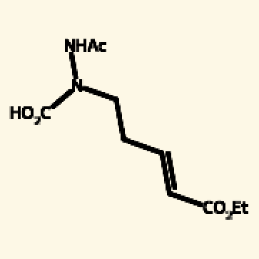 CCOC(=O)/C=C/CCN(NC(C)=O)C(=O)O